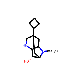 CCOC(=O)N1C2CC3(C4CCC4)CNC2[C@@H](O)C1C3